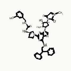 CN1CC(=O)N([C@H]2C[C@@H](n3cnc4c(NCC(c5ccccc5)c5ccccc5)nc(N5CC[C@@H](NC(=O)NCc6cccc(O)c6)C5)nc43)[C@H](O)[C@@H]2O)C1=O